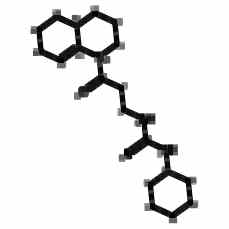 O=C(CCNC(=S)NC1CCCCC1)N1CCCC2CCCC=C21